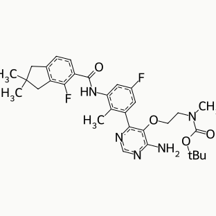 Cc1c(NC(=O)c2ccc3c(c2F)CC(C)(C)C3)cc(F)cc1-c1ncnc(N)c1OCCN(C)C(=O)OC(C)(C)C